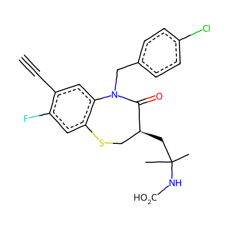 C#Cc1cc2c(cc1F)SC[C@H](CC(C)(C)NC(=O)O)C(=O)N2Cc1ccc(Cl)cc1